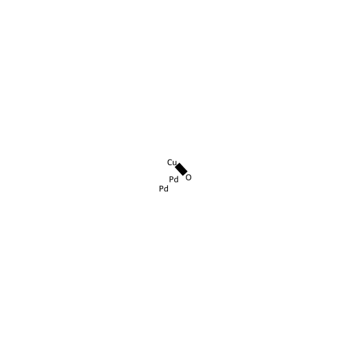 [O]=[Cu].[Pd].[Pd]